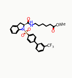 COC(=O)CCCCCNC(=O)[C@@H]1Cc2ccccc2N1S(=O)(=O)c1ccc(-c2cccc(C(F)(F)F)c2)cc1